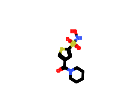 O=C(c1csc(S(=O)(=O)NO)c1)N1CCCCC1